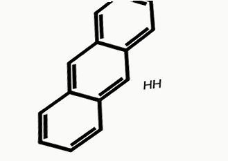 [HH].c1ccc2cc3ccccc3cc2c1